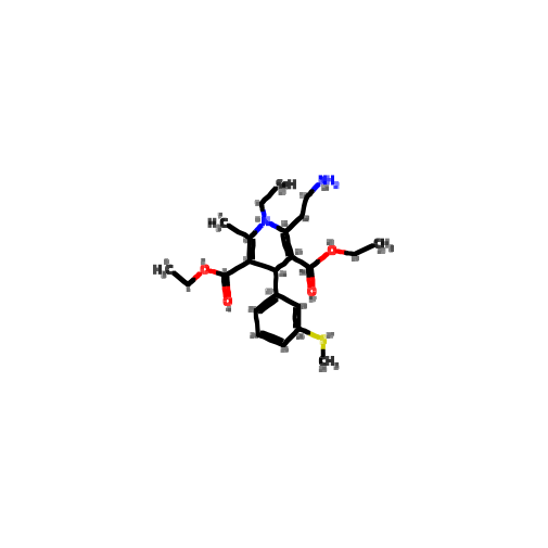 CCOC(=O)C1=C(C)N(C[SeH])C(CCN)=C(C(=O)OCC)C1c1cccc(SC)c1